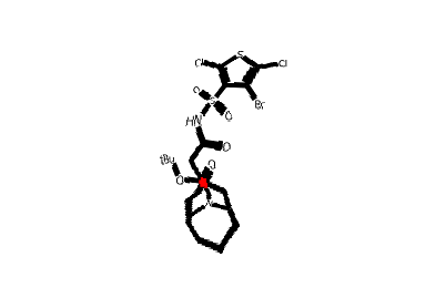 CC(C)(C)OC(=O)N1C2CCCC1CC(CC(=O)NS(=O)(=O)c1c(Cl)sc(Cl)c1Br)C2